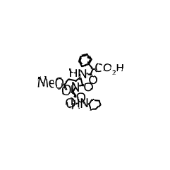 COC1CC2C(NC(=O)C(C(=O)O)c3ccccc3)C(=O)N2C(C(=O)ONC2CCCCC2)O1